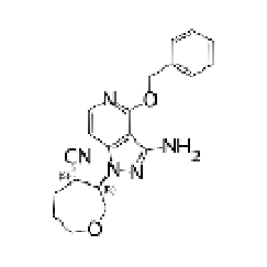 N#C[C@H]1CCCOC[C@@H]1n1nc(N)c2c(OCc3ccccc3)nccc21